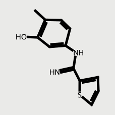 Cc1ccc(NC(=N)c2cccs2)cc1O